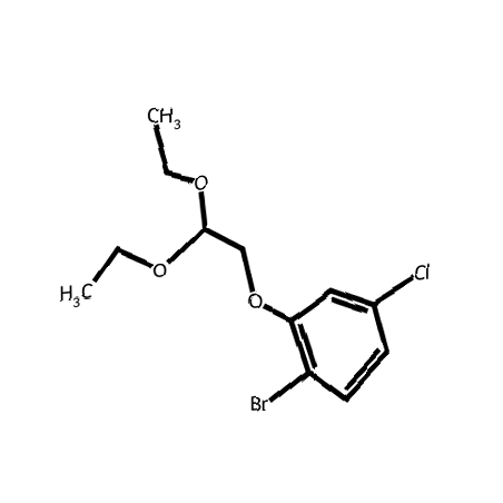 CCOC(COc1cc(Cl)ccc1Br)OCC